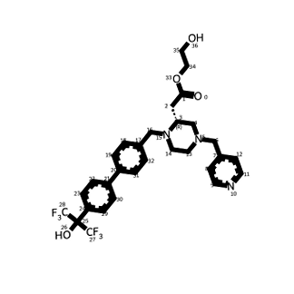 O=C(C[C@@H]1CN(Cc2ccncc2)CCN1Cc1ccc(-c2ccc(C(O)(C(F)(F)F)C(F)(F)F)cc2)cc1)OCCO